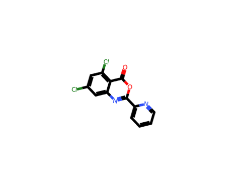 O=c1oc(-c2ccccn2)nc2cc(Cl)cc(Cl)c12